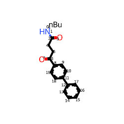 CCCCNC(=O)CCC(=O)c1ccc(-c2ccccc2)cc1